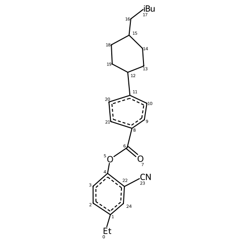 CCc1ccc(OC(=O)c2ccc(C3CCC(CC(C)CC)CC3)cc2)c(C#N)c1